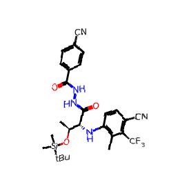 Cc1c(N[C@@H](C(=O)NNC(=O)c2ccc(C#N)cc2)[C@H](C)O[Si](C)(C)C(C)(C)C)ccc(C#N)c1C(F)(F)F